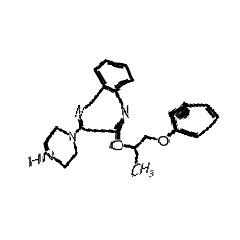 CC(COc1ccccc1)Oc1nc2ccccc2nc1N1CCNCC1